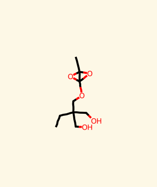 CCC(CO)(CO)COC12OC1(C)O2